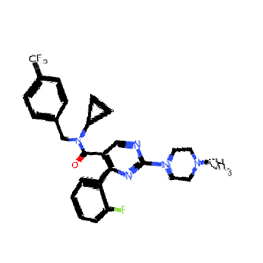 CN1CCN(c2ncc(C(=O)N(Cc3ccc(C(F)(F)F)cc3)C3CC3)c(-c3ccccc3F)n2)CC1